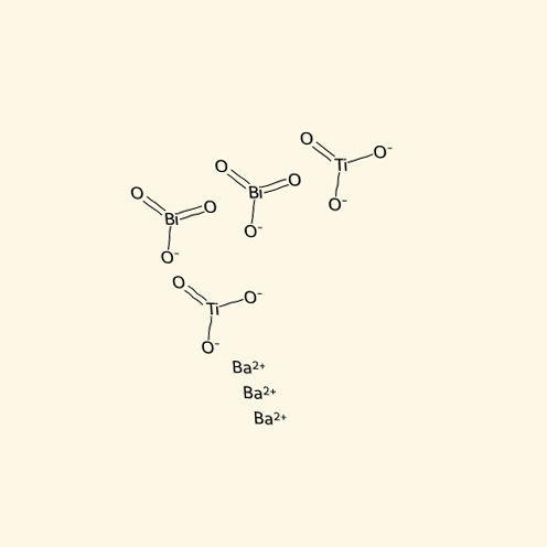 [Ba+2].[Ba+2].[Ba+2].[O]=[Bi](=[O])[O-].[O]=[Bi](=[O])[O-].[O]=[Ti]([O-])[O-].[O]=[Ti]([O-])[O-]